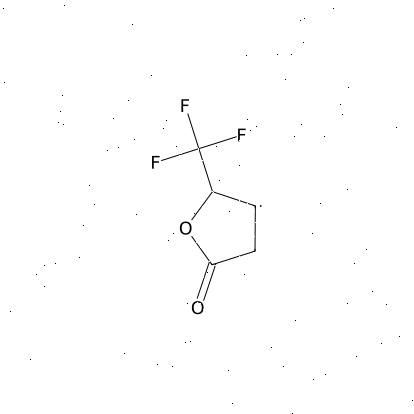 O=C1C[CH]C(C(F)(F)F)O1